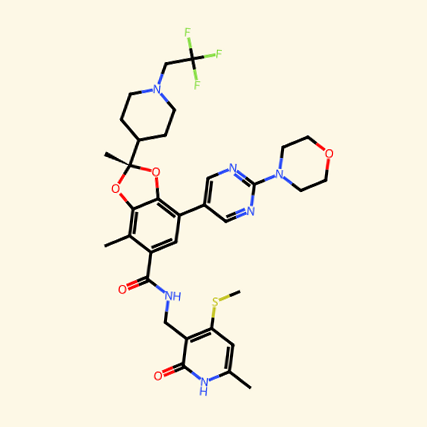 CSc1cc(C)[nH]c(=O)c1CNC(=O)c1cc(-c2cnc(N3CCOCC3)nc2)c2c(c1C)O[C@](C)(C1CCN(CC(F)(F)F)CC1)O2